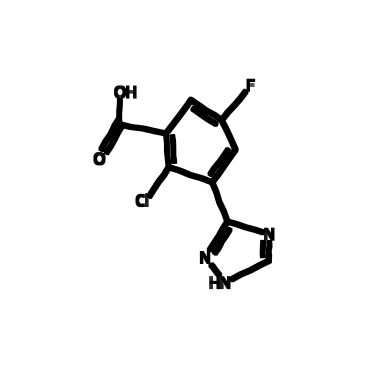 O=C(O)c1cc(F)cc(-c2nc[nH]n2)c1Cl